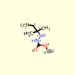 CC(C)(C[N+](=O)[O-])NNC(=O)OC(C)(C)C